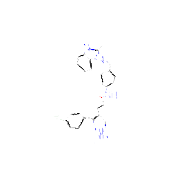 Cc1nc2ccccc2n1Cc1ccc(NC(=O)C=Cc2cnn(C)c2-c2ccc(F)cc2)cc1